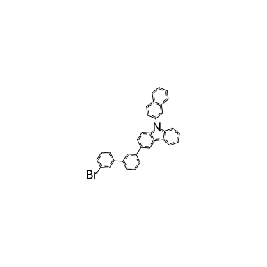 Brc1cccc(-c2cccc(-c3ccc4c(c3)c3ccccc3n4-c3ccc4ccccc4c3)c2)c1